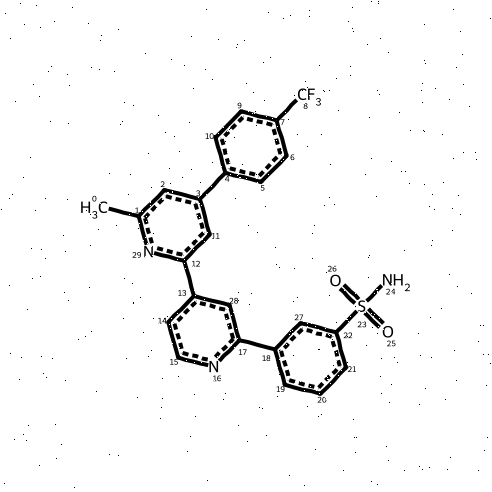 Cc1cc(-c2ccc(C(F)(F)F)cc2)cc(-c2ccnc(-c3cccc(S(N)(=O)=O)c3)c2)n1